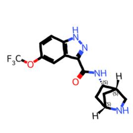 O=C(N[C@H]1C[C@@H]2C[C@H]1CN2)c1n[nH]c2ccc(OC(F)(F)F)cc12